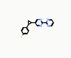 Fc1ccc(C2CC2c2cnc(-c3ncccn3)nc2)cc1